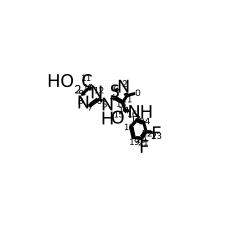 Cc1nsc(Nc2cncc(C(=O)O)n2)c1C(=O)Nc1ccc(F)c(F)c1